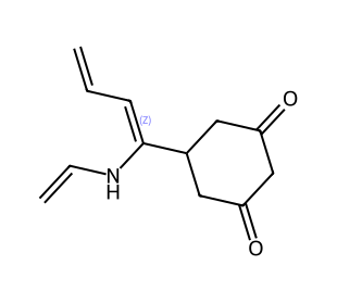 C=C/C=C(\NC=C)C1CC(=O)CC(=O)C1